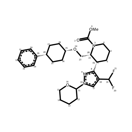 COC(=O)N1CCC[C@H](c2nn(C3CCCCO3)cc2C(F)F)[C@@H]1CO[C@H]1CC[C@@H](c2ccccc2)CC1